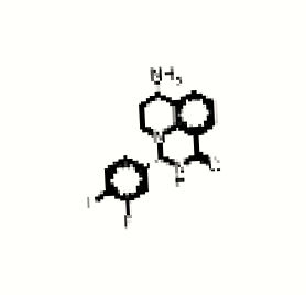 N[C@H]1CCN2c3c(cccc31)C(=O)N[C@@H]2c1ccc(F)c(F)c1